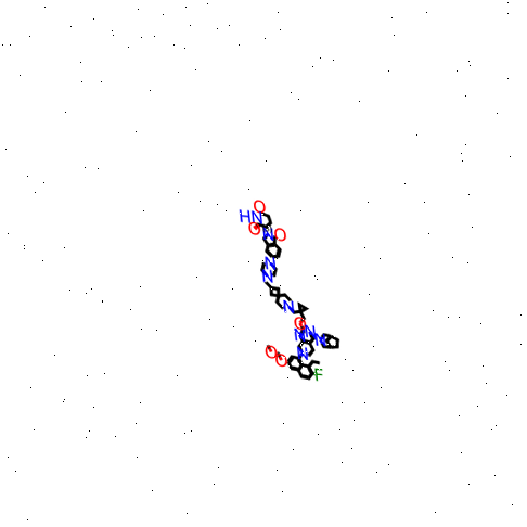 CCc1c(F)ccc2cc(OCOC)cc(N3CCc4c(nc(OCC5(CN6CCC7(CC6)CC(CN6CCN(c8ccc9c(c8)CN([C@H]8CCC(=O)NC8=O)C9=O)CC6)C7)CC5)nc4N4CC5CCC(C5)C4)C3)c12